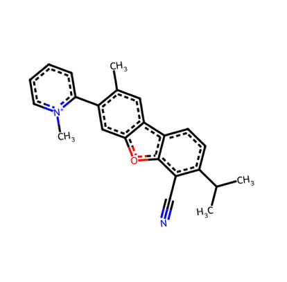 Cc1cc2c(cc1-c1cccc[n+]1C)oc1c(C#N)c(C(C)C)ccc12